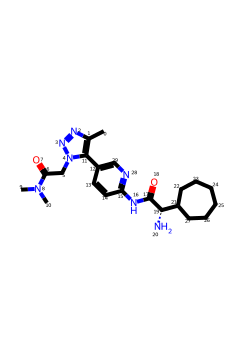 Cc1nnn(CC(=O)N(C)C)c1-c1ccc(NC(=O)[C@@H](N)C2CCCCCC2)nc1